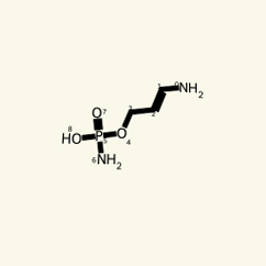 NC=CCOP(N)(=O)O